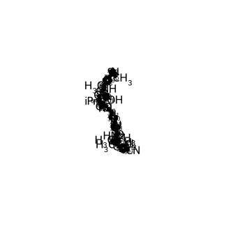 Cc1ncsc1-c1ccc([C@H](C)NC(=O)[C@@H]2C[C@@H](O)CN2C(=O)[C@H](c2cc(OCCN3CCN(c4ccc(C(=O)NC5C(C)(C)C(Oc6ccc(C#N)c(Cl)c6)C5(C)C)cn4)CC3)no2)C(C)C)cc1